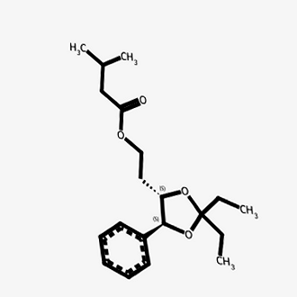 CCC1(CC)O[C@@H](CCOC(=O)CC(C)C)[C@H](c2ccccc2)O1